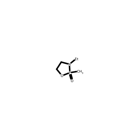 CCN1CCOP1(C)=O